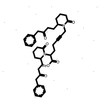 COC(=O)C(CCC#CCN1C(=O)CCCC1CCC(=O)Cc1ccccc1)N1C(=O)CCCC1CCC(=O)Cc1ccccc1